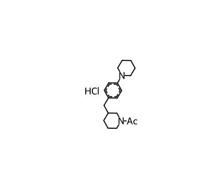 CC(=O)N1CCCC(Cc2ccc(N3CCCCC3)cc2)C1.Cl